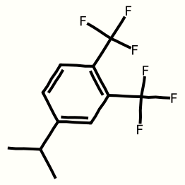 CC(C)c1ccc(C(F)(F)F)c(C(F)(F)F)c1